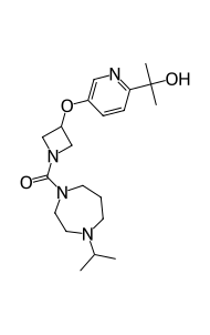 CC(C)N1CCCN(C(=O)N2CC(Oc3ccc(C(C)(C)O)nc3)C2)CC1